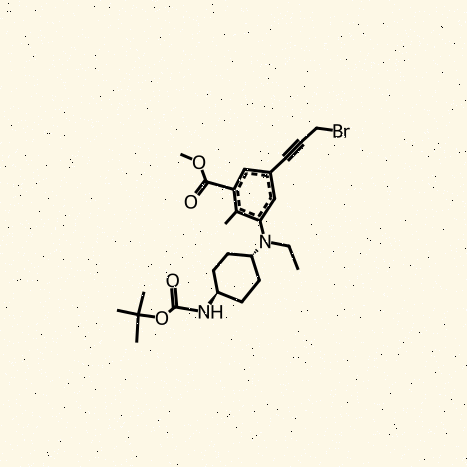 CCN(c1cc(C#CCBr)cc(C(=O)OC)c1C)[C@H]1CC[C@H](NC(=O)OC(C)(C)C)CC1